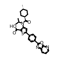 CC(C)N(c1cc(-c2ccc(-c3nc4cccnc4o3)cc2)sc1C(=O)O)C(=O)[C@H]1CC[C@H](C)CC1